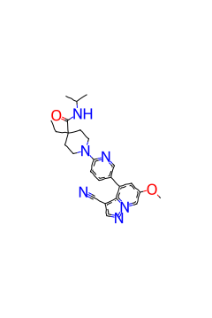 CCC1(C(=O)NC(C)C)CCN(c2ccc(-c3cc(OC)cn4ncc(C#N)c34)cn2)CC1